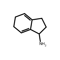 NC1CCC2=CCCC=C21